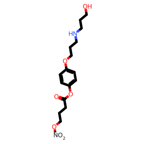 O=C(CCCO[N+](=O)[O-])Oc1ccc(OCCCNCCCO)cc1